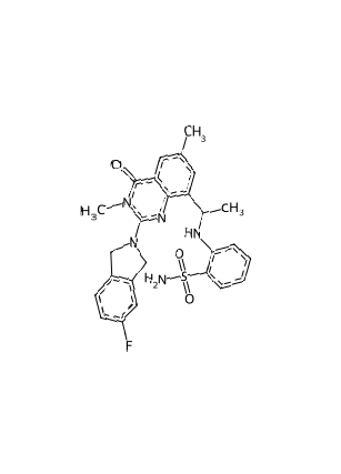 Cc1cc(C(C)Nc2ccccc2S(N)(=O)=O)c2nc(N3Cc4ccc(F)cc4C3)n(C)c(=O)c2c1